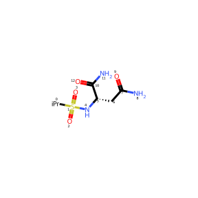 CC(C)S(=O)(=O)N[C@@H](CC(N)=O)C(N)=O